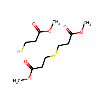 COC(=O)CCS.COC(=O)CCSCCC(=O)OC